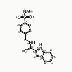 CNS(=O)(=O)c1ccc(CNC(=O)c2cc3ccccc3[nH]2)cc1